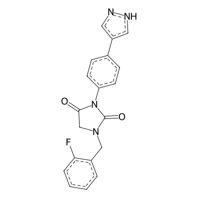 O=C1CN(Cc2ccccc2F)C(=O)N1c1ccc(-c2cn[nH]c2)cc1